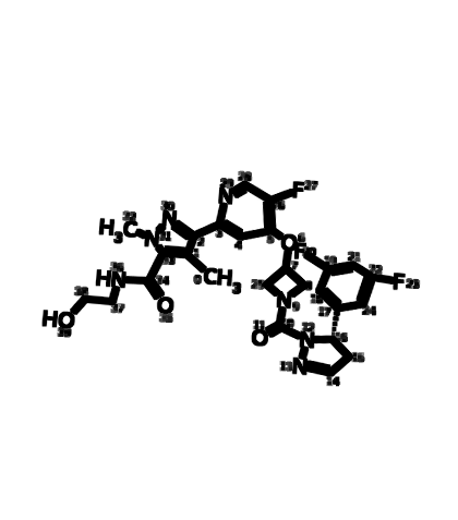 Cc1c(-c2cc(OC3CN(C(=O)N4N=CC[C@H]4c4cc(F)cc(F)c4)C3)c(F)cn2)nn(C)c1C(=O)NCCO